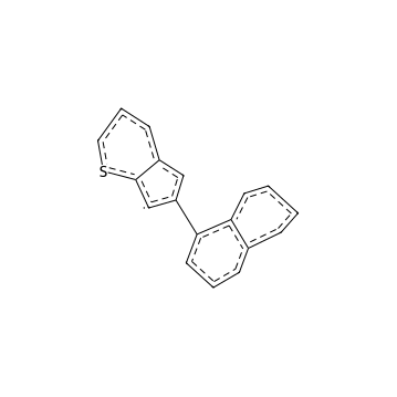 [c]1c(-c2cccc3ccccc23)cc2cccsc1-2